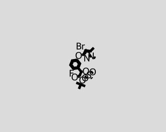 Cc1c(Br)c(Oc2ccc(F)c(C(OS(C)(=O)=O)C(=O)OC(C)(C)C)c2)nn1C